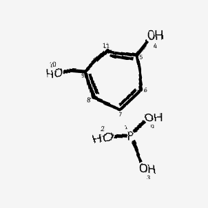 OP(O)O.Oc1cccc(O)c1